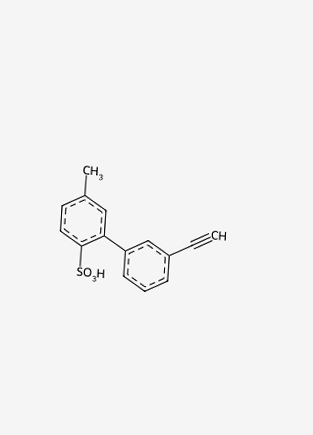 C#Cc1cccc(-c2cc(C)ccc2S(=O)(=O)O)c1